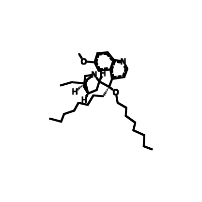 CCCCCCCCO[C@](CCCCCCCC)(c1ccnc2ccc(OC)cc12)[C@@H]1C[C@@H]2CCN1C[C@@H]2CC